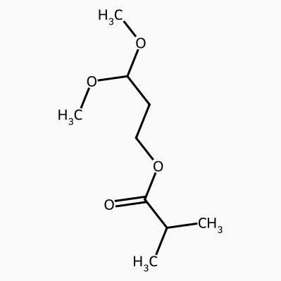 COC(CCOC(=O)C(C)C)OC